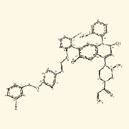 C=CC(=O)N1CCN(C2=NC(O)N(c3ccccc3CCC)c3cc(-c4c(F)cccc4OCCc4ccc(OCc5cccc(I)c5)cc4)c(Cl)cc32)[C@@H](C)C1